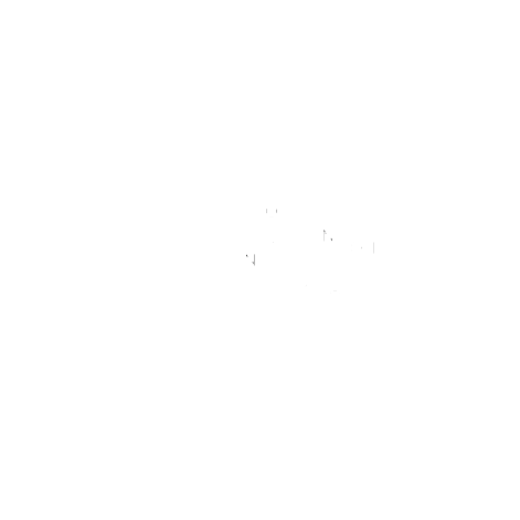 O=C1CCN(Cc2ccccc2)C(=O)/C1=N/O